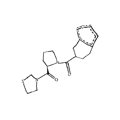 O=C([C@H]1CCCN1C(=O)C1CCc2ccccc2C1)N1CCSC1